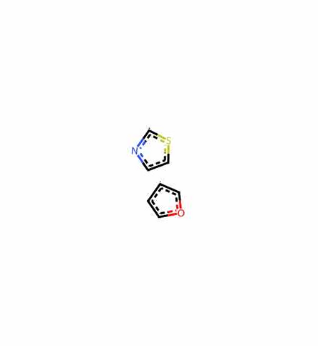 [c]1ccoc1.[c]1nccs1